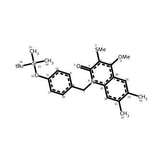 COc1c(SC)c(=O)n(Cc2ccc(O[Si](C)(C)C(C)(C)C)cc2)c2cc(C)c(C)cc12